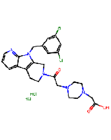 Cl.Cl.O=C(O)CN1CCN(CC(=O)N2CCc3c(n(Cc4cc(Cl)cc(Cl)c4)c4ncccc34)C2)CC1